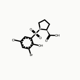 O=C(O)[C@@H]1CCCN1S(=O)(=O)c1cc(Cl)cc(Br)c1O